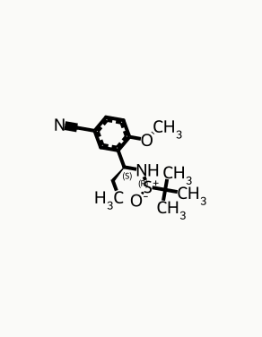 CC[C@H](N[S@@+]([O-])C(C)(C)C)c1cc(C#N)ccc1OC